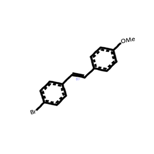 COc1ccc(/C=C/c2ccc(Br)cc2)cc1